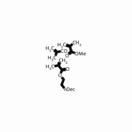 C=C(C)C(=O)O.C=C(C)C(=O)OC.C=C(C)C(=O)OCCCCCCCCCCCC